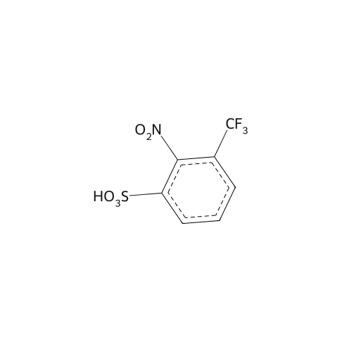 O=[N+]([O-])c1c(C(F)(F)F)cccc1S(=O)(=O)O